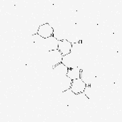 Cc1cc(C)c(CNC(=O)c2cc(Cl)cc(N3CCCC(C)C3)c2C)c(=O)[nH]1